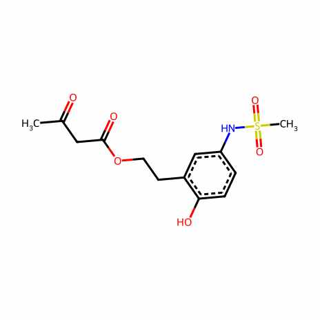 CC(=O)CC(=O)OCCc1cc(NS(C)(=O)=O)ccc1O